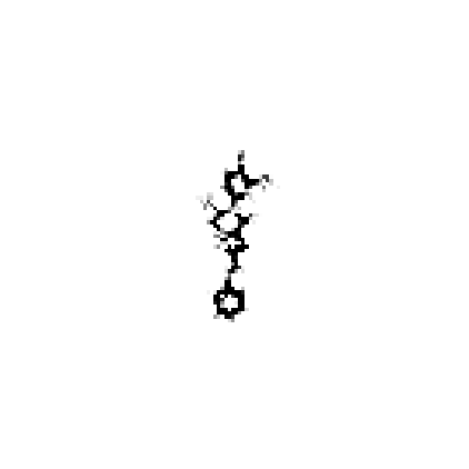 Cc1nc(N2C(=O)c3cc(COc4ccccc4)nn3C[C@H]2C)ccc1F